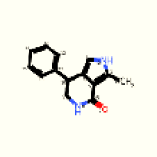 Cc1[nH]cc2c1C(=O)NCC2c1ccccc1